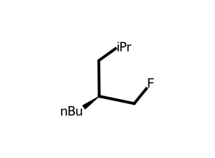 CCCC[C@H](CF)CC(C)C